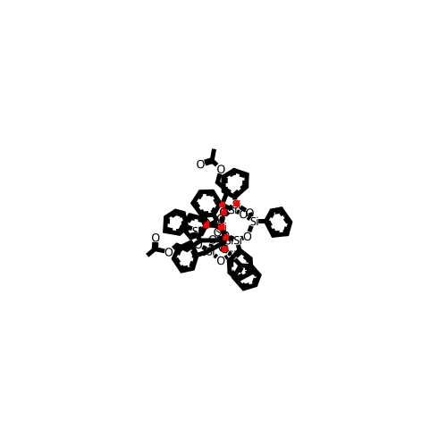 CC(=O)OCCC[Si]1(C)O[Si]2(c3ccccc3)OC34O[Si](c5ccccc5)(O2)O[Si]2(c5ccccc5)O[Si](C)(CCCOC(C)=O)O[Si]5(c6ccccc6)O[Si](c6ccccc6)(O[Si](c6ccccc6)(O1)O[Si]3(c1ccccc1)O5)O[Si]4(c1ccccc1)O2